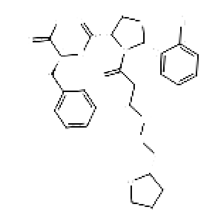 O=C(O)[C@H](Cc1ccccc1)NC(=O)[C@@H]1CS[C@H](c2ccccc2O)N1C(=O)CCSSC[C@@H]1CCCO1